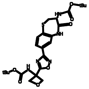 CC(C)(C)OC(=O)N[C@H]1CSc2ccc(-c3noc(C4(NC(=O)OC(C)(C)C)COC4)n3)cc2NC1=O